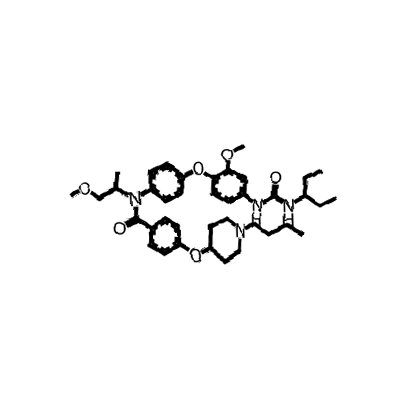 CCCCN1CCC(Oc2ccc(C(=O)N(c3ccc(Oc4ccc(NC(=O)NC(CC)CC)cc4OC)cc3)C(C)COC)cc2)CC1